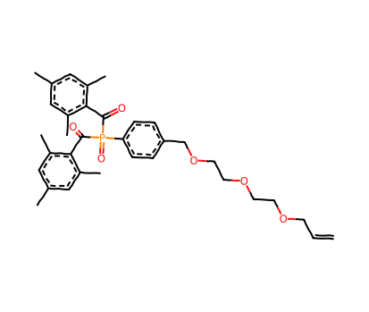 C=CCOCCOCCOCc1ccc(P(=O)(C(=O)c2c(C)cc(C)cc2C)C(=O)c2c(C)cc(C)cc2C)cc1